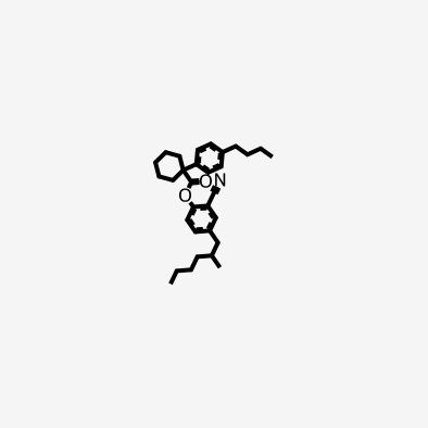 CCCCc1ccc(C2(C(=O)Oc3ccc(CC(C)CCCC)cc3C#N)CCCCC2)cc1